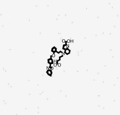 O=C(O)CCCCN(CCc1ccccc1OCc1ccc(-c2nc3ccccc3o2)cc1)C1CCCc2nc(C(=O)O)ccc21